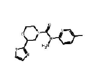 Cc1ccc(N(N)C(=O)N2CCOC(c3nccs3)C2)nc1